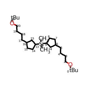 CC(C)(C)OCCCCC1CCC([Si](C)(C)C2CCC(CCCCOC(C)(C)C)C2)C1